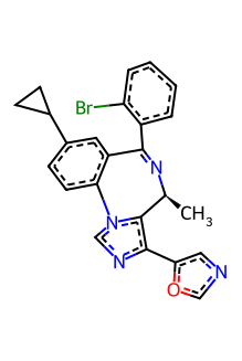 C[C@@H]1N=C(c2ccccc2Br)c2cc(C3CC3)ccc2-n2cnc(-c3cnco3)c21